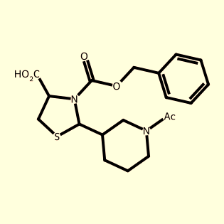 CC(=O)N1CCCC(C2SCC(C(=O)O)N2C(=O)OCc2ccccc2)C1